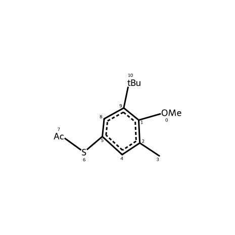 COc1c(C)cc(SC(C)=O)cc1C(C)(C)C